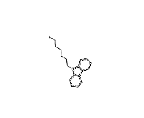 ICCCCCCn1c2ccccc2c2ccccc21